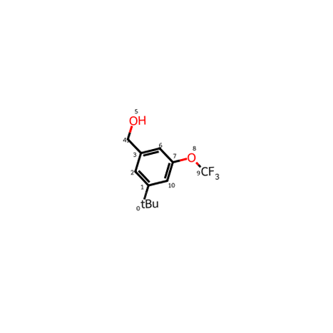 CC(C)(C)c1cc([CH]O)cc(OC(F)(F)F)c1